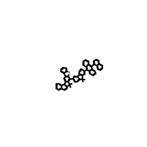 CC1(C)c2ccc(-c3c4c(cc5c3sc3ccccc35)-c3c(ccc5ccccc35)C4(C)C)cc2-c2ccc(-c3c4ccccc4c(-c4cccc5ccccc45)c4ccccc34)cc21